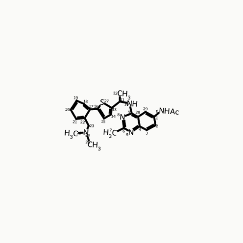 CC(=O)Nc1ccc2nc(C)nc(NC(C)c3ccc(-c4ccccc4CN(C)C)s3)c2c1